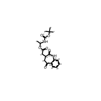 CC(NC(=O)OC(C)(C)C)OC(=O)CC1CC(=O)c2ccccc2NC1=O